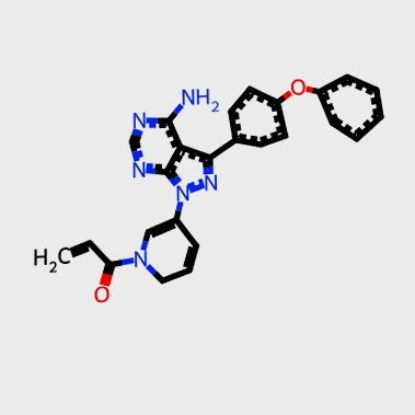 C=CC(=O)N1C=C(n2nc(-c3ccc(Oc4ccccc4)cc3)c3c(N)ncnc32)C=CC1